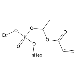 C=CC(=O)OC(C)OP(=O)(OCC)OCCCCCC